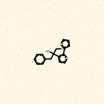 CCC(O)(Cc1ccccc1)c1ccsc1-c1cccs1